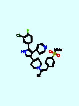 CCC(=Cc1ccc(S(=O)(=O)NC)cc1)N1CC=C(c2c[nH]c(-c3ccc(F)c(Cl)c3)c2-c2ccncc2)CC1